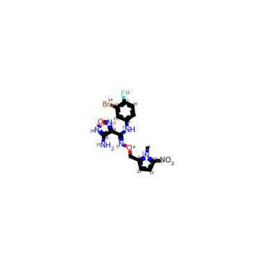 Cn1c(CO/N=C(\Nc2ccc(F)c(Br)c2)c2nonc2N)ccc1[N+](=O)[O-]